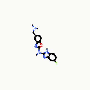 CN(C)Cc1ccc2oc(N(C)c3nc4cc(F)ccc4n3C)nc2c1